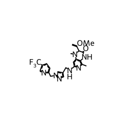 C=C(OC)C1C(=O)Nc2c(cc(NCc3cnn(Cc4ccc(C(F)(F)F)cn4)c3)nc2C)N1C